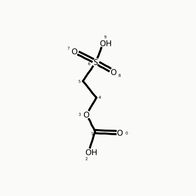 O=C(O)OCCS(=O)(=O)O